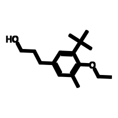 CCOc1c(C)cc(CCCO)cc1C(C)(C)C